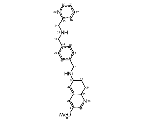 COC1=CC2=CC(NCc3ccc(CNCc4ccccn4)cc3)CCC2N=C1